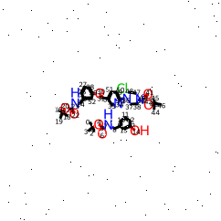 CC(C)(C)OC(=O)NCc1cccc(O)c1.CC(C)(C)OC(=O)NCc1cccc(OCc2cnc(N3CCN(C(=O)OC(C)(C)C)CC3)c(Cl)c2)c1